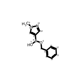 Cn1cc(B(O)OCc2ccccc2)cn1